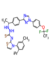 Cc1ccc(C(C)C)c(-n2ccs/c2=N\C(=S)NNC(C)c2ccc(-c3ncn(-c4ccc(OC(F)(F)C(F)(F)F)cc4)n3)cc2)c1